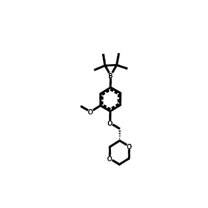 COc1cc(B2C(C)(C)C2(C)C)ccc1OC[C@H]1COCCO1